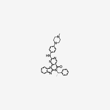 C[C@@H](c1ccccc1)n1c(=O)c2cnc(Nc3ccc(N4CCN(C)CC4)cc3)nc2n2c3ccccc3nc12